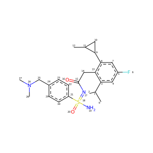 CC(C)c1cc(F)cc(C2CC2C)c1CC(=O)N=S(N)(=O)c1ccc(CN(C)C)cc1